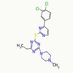 CCc1nc(Sc2nccc(-c3ccc(Cl)c(Cl)c3)n2)nc(N2CCN(C)CC2)n1